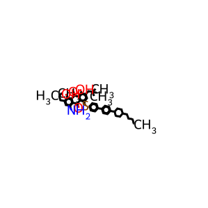 CCCCCC1CCC(c2ccc(-c3ccc(Sc4cc(CC(C)C)c(O)c5c4C(=O)c4c(N)cc(CC(C)C)c(O)c4C5=O)cc3)cc2)CC1